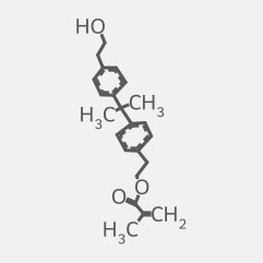 C=C(C)C(=O)OCCc1ccc(C(C)(C)c2ccc(CCO)cc2)cc1